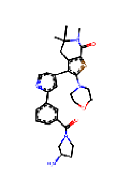 CN1C(=O)c2sc(N3CCOCC3)c(-c3ccnc(-c4cccc(C(=O)N5CC[C@@H](N)C5)c4)c3)c2CC1(C)C